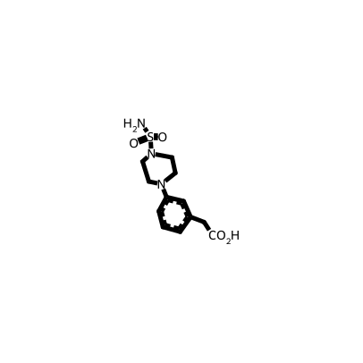 NS(=O)(=O)N1CCN(c2cccc(CC(=O)O)c2)CC1